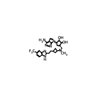 CN(C[C@H]1C[C@@H](n2ccc3c(N)ncnc32)[C@H](O)[C@@H]1O)C1CC(CCc2nc3cc(C(F)(F)F)ccc3[nH]2)C1